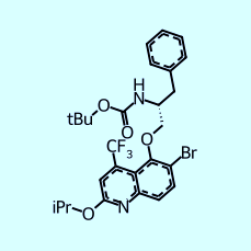 CC(C)Oc1cc(C(F)(F)F)c2c(OC[C@@H](Cc3ccccc3)NC(=O)OC(C)(C)C)c(Br)ccc2n1